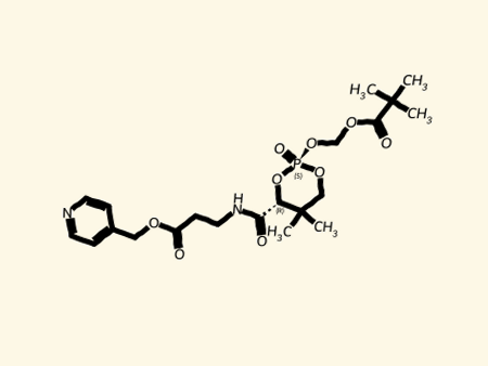 CC(C)(C)C(=O)OCO[P@@]1(=O)OCC(C)(C)[C@H](C(=O)NCCC(=O)OCc2ccncc2)O1